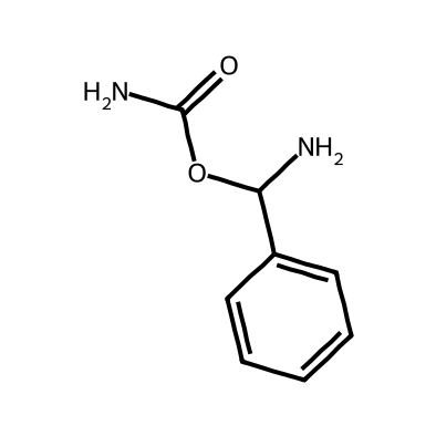 NC(=O)OC(N)c1ccccc1